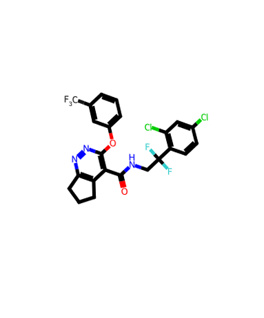 O=C(NCC(F)(F)c1ccc(Cl)cc1Cl)c1c(Oc2cccc(C(F)(F)F)c2)nnc2c1CCC2